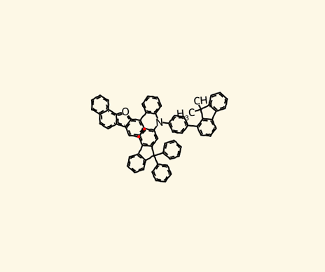 CC1(C)c2ccccc2-c2cccc(-c3ccc(N(c4ccc5c(c4)C(c4ccccc4)(c4ccccc4)c4ccccc4-5)c4ccccc4-c4cccc5c4oc4c6ccccc6ccc54)cc3)c21